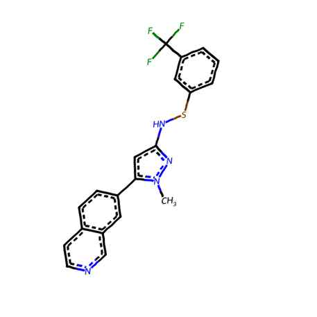 Cn1nc(NSc2cccc(C(F)(F)F)c2)cc1-c1ccc2ccncc2c1